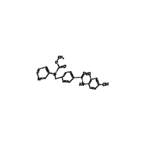 COC(=O)N(Cc1ccc(C(=O)Nc2ccc(O)cc2O)cc1)c1cccnc1